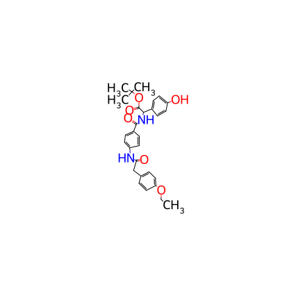 CCOc1ccc(CC(=O)Nc2ccc(C(=O)NC(C(=O)OC(C)(C)C)c3ccc(O)cc3)cc2)cc1